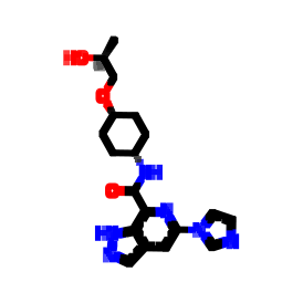 C[C@H](O)CO[C@H]1CC[C@H](NC(=O)c2nc(-n3ccnc3)cc3cn[nH]c23)CC1